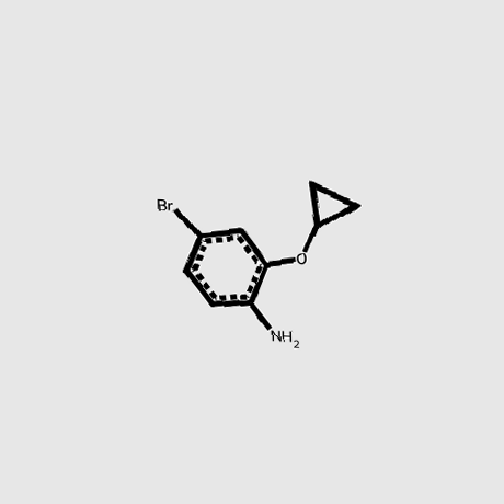 Nc1ccc(Br)cc1OC1CC1